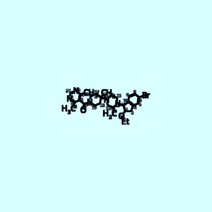 CCOC1Cc2cc(Br)ccc2C1N1CCN(C2(C)CCN(C(=O)c3c(C)ncnc3C)CC2)C[C@@H]1C